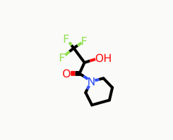 O=C(C(O)C(F)(F)F)N1CCCCC1